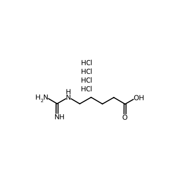 Cl.Cl.Cl.Cl.N=C(N)NCCCCC(=O)O